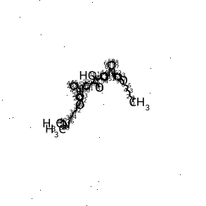 CCCCCCCOc1ccc(N(c2ccc(C3=C(O)C(=C4C=CC(N(c5ccc(OCCCCCCN(CC)CC)cc5)C5CCCCC5)C=C4)C3=O)cc2)C2CCCCC2)cc1